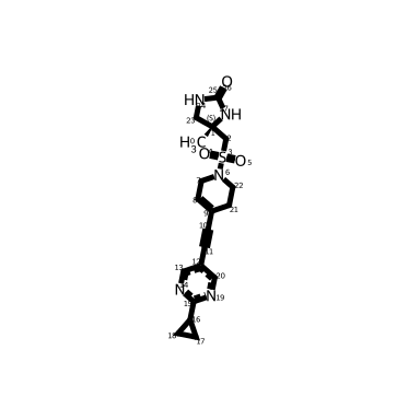 C[C@@]1(CS(=O)(=O)N2CC=C(C#Cc3cnc(C4CC4)nc3)CC2)CNC(=O)N1